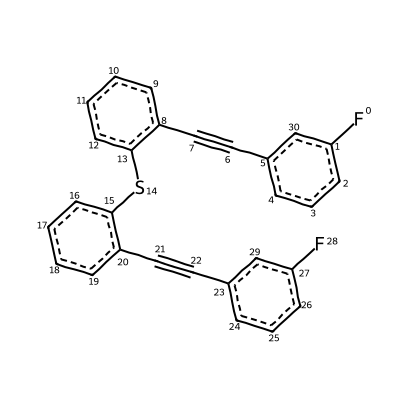 Fc1cccc(C#Cc2ccccc2Sc2ccccc2C#Cc2cccc(F)c2)c1